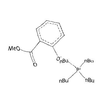 CCCC[P+](CCCC)(CCCC)CCCC.COC(=O)c1ccccc1[O-]